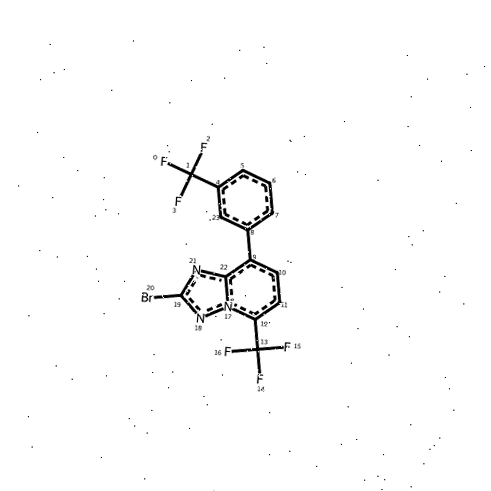 FC(F)(F)c1cccc(-c2ccc(C(F)(F)F)n3nc(Br)nc23)c1